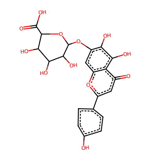 O=C(O)C1OC(Oc2cc3oc(-c4ccc(O)cc4)cc(=O)c3c(O)c2O)C(O)C(O)C1O